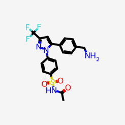 CC(=O)NS(=O)(=O)c1ccc(-n2nc(C(F)(F)F)cc2-c2ccc(CN)cc2)cc1